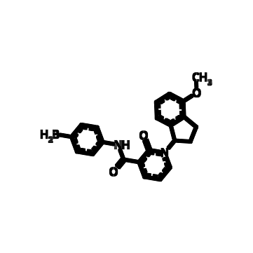 Bc1ccc(NC(=O)c2cccn(C3CCc4c(OC)cccc43)c2=O)cc1